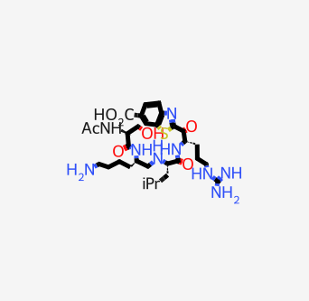 CC(=O)N[C@@H](CO)C(=O)N[C@@H](CCCCN)CN[C@@H](CC(C)C)C(=O)N[C@@H](CCCNC(=N)N)C(=O)c1nc2ccc(C(=O)O)cc2s1